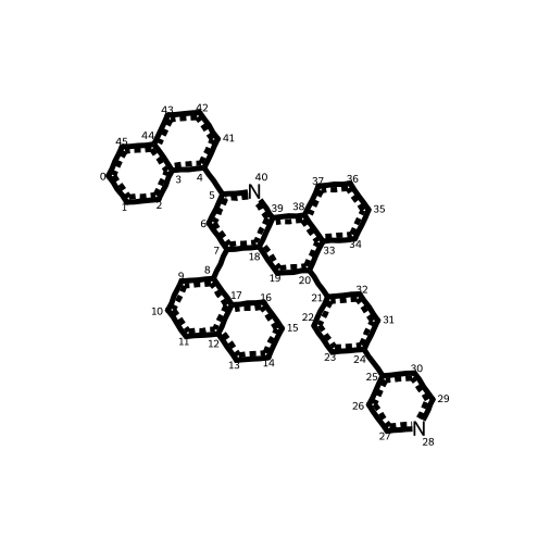 c1ccc2c(-c3cc(-c4cccc5ccccc45)c4cc(-c5ccc(-c6ccncc6)cc5)c5ccccc5c4n3)cccc2c1